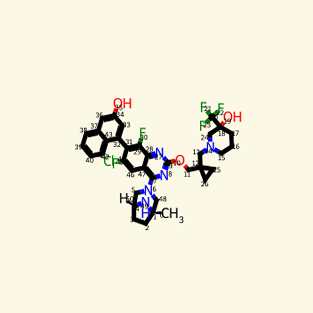 C[C@]12CC[C@H](CN(c3nc(OCC4(CN5CCCC(O)(C(F)(F)F)C5)CC4)nc4c(F)c(-c5cc(O)cc6cccc(Cl)c56)c(F)cc34)C1)N2